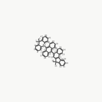 CC1(C)c2ccccc2N(c2c3ccccc3c(-c3cc4c(c5ccccc35)-c3ccccc3C4(C)C)c3ccccc23)c2ccccc21